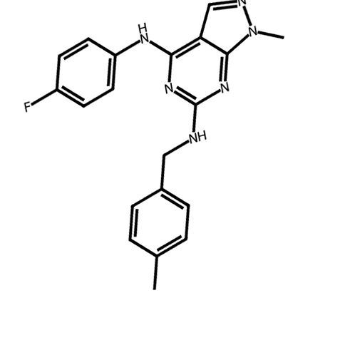 Cc1ccc(CNc2nc(Nc3ccc(F)cc3)c3cnn(C)c3n2)cc1